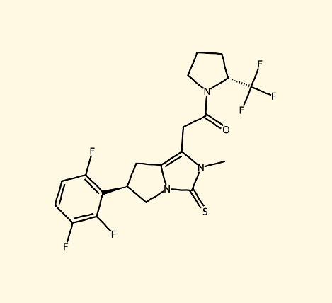 Cn1c(CC(=O)N2CCC[C@@H]2C(F)(F)F)c2n(c1=S)C[C@@H](c1c(F)ccc(F)c1F)C2